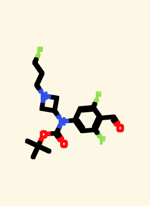 CC(C)(C)OC(=O)N(c1cc(F)c(C=O)c(F)c1)C1CN(CCCF)C1